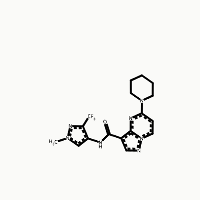 Cn1cc(NC(=O)c2cnn3ccc(N4CCCCC4)nc23)c(C(F)(F)F)n1